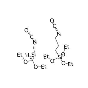 CCOC(OCC)[SiH2]CN=C=O.CCO[Si](CCCN=C=O)(OCC)OCC